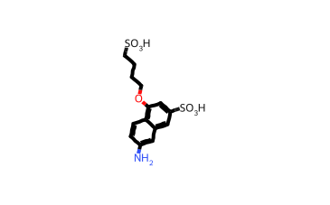 Nc1ccc2c(OCCCCS(=O)(=O)O)cc(S(=O)(=O)O)cc2c1